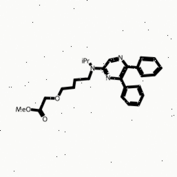 COC(=O)COCCCCN(c1cnc(-c2ccccc2)c(-c2ccccc2)n1)C(C)C